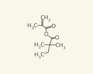 C=C(C)C(=O)OC(=O)C(C)(C)CC